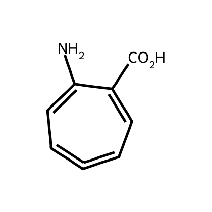 NC1=CC=C=CC=C1C(=O)O